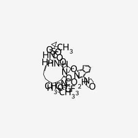 C[C@@H]1CC/C=C\[C@@H]2C[C@@]2(C(=O)NS(=O)(=O)C2(C)CC2)NC(=O)[C@@H]2C[C@@H](Oc3ncc(N4CCOCC4)c4ccccc34)CN2C(=O)[C@@H](N(C(=O)O)C(C)(C)C(F)(F)F)[C@H](C)C1